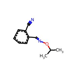 CC(C)O/N=[C]/c1ccccc1C#N